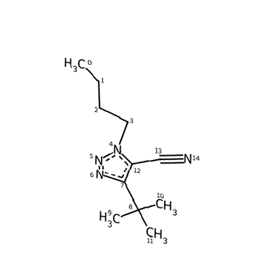 CCCCn1nnc(C(C)(C)C)c1C#N